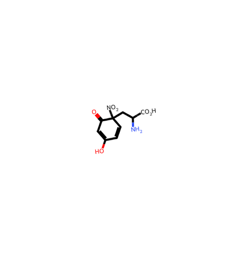 NC(CC1([N+](=O)[O-])C=CC(O)=CC1=O)C(=O)O